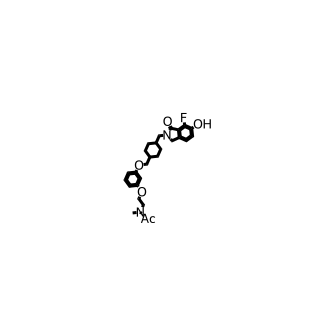 CC(=O)N(C)CCOc1cccc(OCC2CCC(CN3Cc4ccc(O)c(F)c4C3=O)CC2)c1